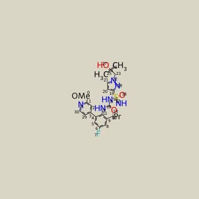 COc1cc(-c2cc(F)cc(C(C)C)c2NC(=O)NS(=N)(=O)c2ccn(CC(C)(C)O)n2)ccn1